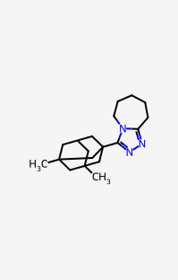 CC12CC3CC(C)(C1)CC(c1nnc4n1CCCCC4)(C3)C2